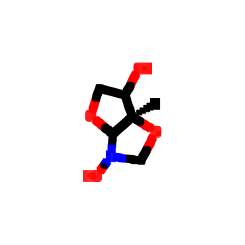 OC1COC2[C@@H]1OCN2O